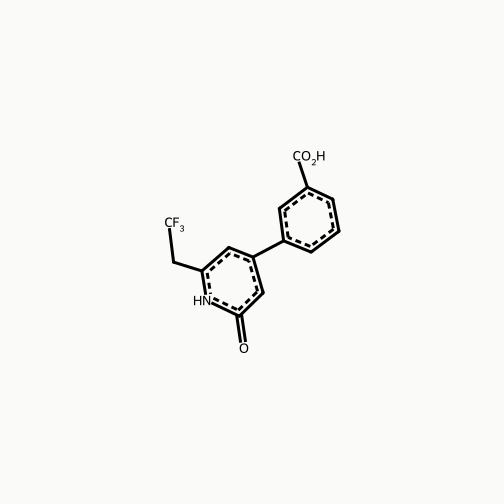 O=C(O)c1cccc(-c2cc(CC(F)(F)F)[nH]c(=O)c2)c1